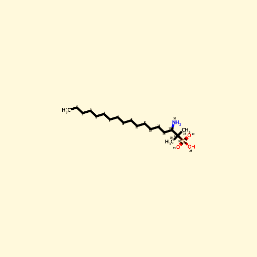 CCCCCCCCCCCCCCCC(N)C(C)(C)S(=O)(=O)O